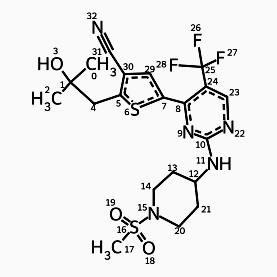 CC(C)(O)Cc1sc(-c2nc(NC3CCN(S(C)(=O)=O)CC3)ncc2C(F)(F)F)cc1C#N